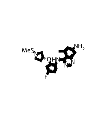 CSN1CC[C@@H](Oc2cc(F)ccc2Nc2ncnc3cc(N)cc(C)c23)C1